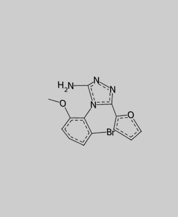 COc1cccc(Br)c1-n1c(N)nnc1-c1ccco1